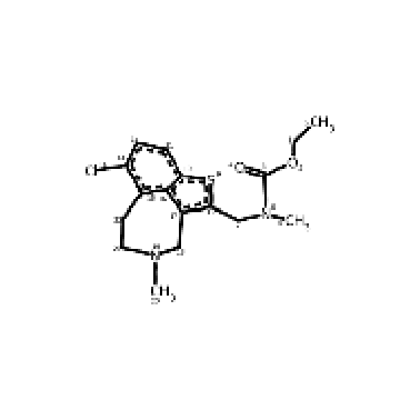 CCOC(=O)N(C)Cc1sc2ccc(Cl)c3c2c1CN(C)CC3